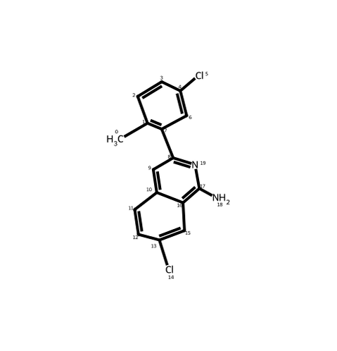 Cc1ccc(Cl)cc1-c1cc2ccc(Cl)cc2c(N)n1